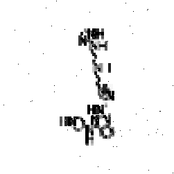 c1ccc2c(NC3CCNCC3)nc(NCc3cn(CCCNCCCNC4=NCCN4)nn3)nc2c1